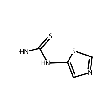 [NH]C(=S)Nc1cncs1